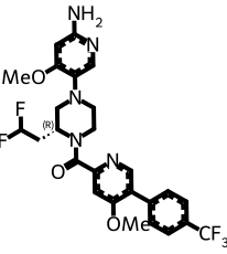 COc1cc(C(=O)N2CCN(c3cnc(N)cc3OC)C[C@H]2CC(F)F)ncc1-c1ccc(C(F)(F)F)cc1